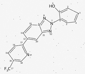 Oc1ccccc1-n1nc2ccc(-c3ccc(C(F)(F)F)cn3)cc2n1